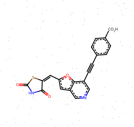 O=C1NC(=O)/C(=C\c2cc3cncc(C#Cc4ccc(C(=O)O)cc4)c3o2)S1